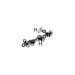 Cc1ccc(-c2cc(C(F)(F)F)nn2-c2ccc(S(=O)(=O)NC(=O)OCC3CN([N+]([O-])=NOCN4C(=O)c5ccccc5C4=O)C3)cc2)cc1